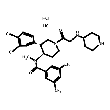 CN(C(=O)c1cc(C(F)(F)F)cc(C(F)(F)F)c1)[C@@H]1CCN(C(=O)CNC2CCNCC2)C[C@H]1c1ccc(Cl)c(Cl)c1.Cl.Cl